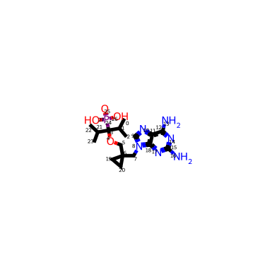 CC(C)C(OCC1(Cn2cnc3c(N)nc(N)nc32)CC1)(C(C)C)P(=O)(O)O